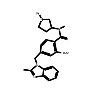 COc1cc(Cn2c(C)nc3ccccc32)ccc1C(=O)N(C)C1CCN(C(C)C)C1